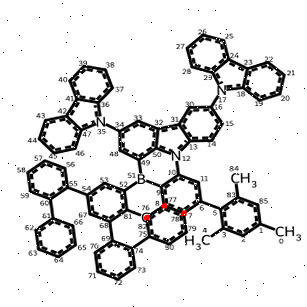 Cc1cc(C)c(-c2cc3c4c(c2)-n2c5ccc(-n6c7ccccc7c7ccccc76)cc5c5cc(-n6c7ccccc7c7ccccc76)cc(c52)B4c2cc(-c4ccccc4-c4ccccc4)cc(-c4ccccc4-c4ccccc4)c2O3)c(C)c1